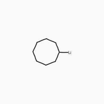 [Li][CH]1CCCCCCC1